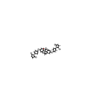 O=C1C=CC(=O)N1c1ccc(Oc2ccc(C(c3ccc(Oc4ccc(N5C(=O)C=CC5=O)cc4)cc3)(C(F)(F)F)C(F)(F)F)cc2)cc1